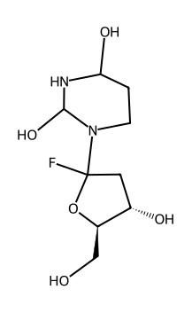 OC[C@H]1OC(F)(N2CCC(O)NC2O)C[C@@H]1O